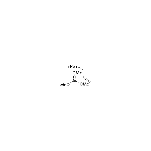 C=CCCCCCC.CO[SiH](OC)OC